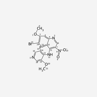 COc1cc2ncc([N+](=O)[O-])c(Nc3c(F)cncc3OC)c2cc1Br